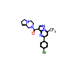 O=C(c1cnn2c(C(F)(F)F)cc(-c3ccc(Br)cc3)nc12)N1CCN2CCC=C2C1